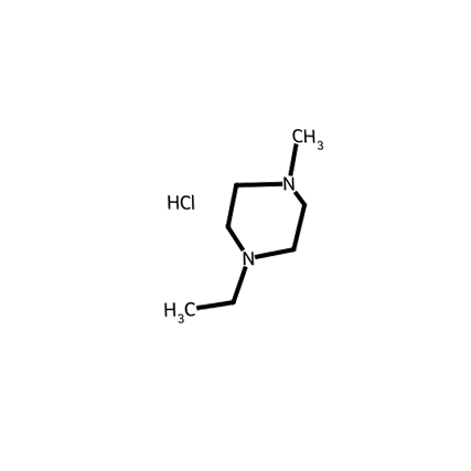 CCN1CCN(C)CC1.Cl